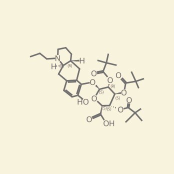 CCCN1CCC[C@@H]2Cc3c(ccc(O)c3O[C@@H]3O[C@H](C(=O)O)[C@@H](OC(=O)C(C)(C)C)[C@H](OC(=O)C(C)(C)C)[C@H]3OC(=O)C(C)(C)C)C[C@H]21